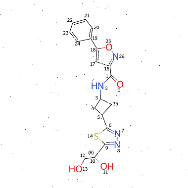 O=C(NC1CC(c2nnc([C@H](O)CO)s2)C1)c1cc(-c2ccccc2)on1